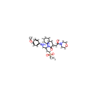 CS(=O)(=O)CCC(CNc1ccc(OC(F)(F)F)cc1)NC(=O)C(CC(=O)N1CCOCC1)CC1CCCCC1